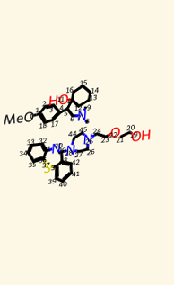 COc1ccc(C(CN(C)C)C2(O)CCCCC2)cc1.OCCOCCN1CCN(C2=Nc3ccccc3Sc3ccccc32)CC1